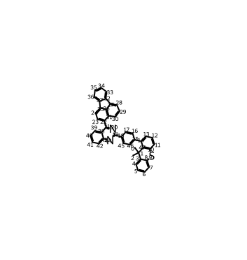 CC1(C)c2ccccc2Sc2cccc(-c3ccc(-c4nc(-c5ccc6c7c(cccc57)-c5ccccc5-6)c5ccccc5n4)cc3)c21